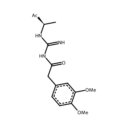 COc1ccc(CC(=O)NC(=N)N[C@H](C)C(C)=O)cc1OC